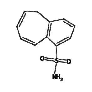 NS(=O)(=O)c1cccc2c1C=CC=CC2